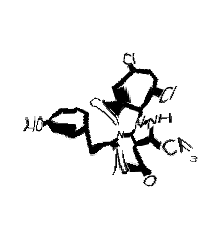 O=c1nc(Cc2cccc(O)c2)nc2n(-c3c(Cl)cc(Cl)cc3Cl)[nH]c(C(F)(F)F)c1-2